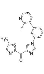 Cc1cnc(C(=O)c2cn(-c3cccc(-c4cccnc4F)c3)cn2)s1